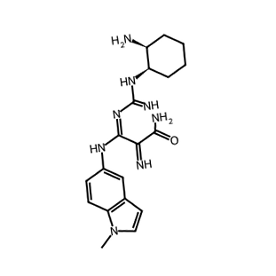 Cn1ccc2cc(N/C(=N/C(=N)N[C@@H]3CCCC[C@@H]3N)C(=N)C(N)=O)ccc21